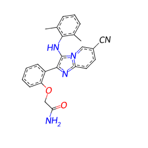 Cc1cccc(C)c1Nc1c(-c2ccccc2OCC(N)=O)nc2ccc(C#N)cn12